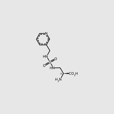 N[C@@H](CNS(=O)(=O)NCc1cccnc1)C(=O)O